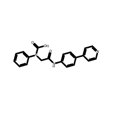 O=C(CN(C(=O)O)c1ccccc1)Nc1ccc(-c2ccncc2)cc1